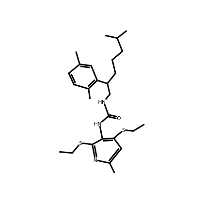 CCSc1cc(C)nc(SCC)c1NC(=O)NCC(CCCC(C)C)c1cc(C)ccc1C